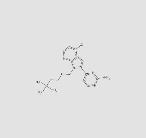 C[Si](C)(C)CCOCn1c(-c2ccnc(N)n2)cc2c(Cl)ccnc21